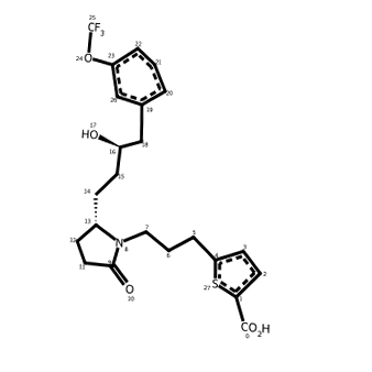 O=C(O)c1ccc(CCCN2C(=O)CC[C@@H]2CC[C@@H](O)Cc2cccc(OC(F)(F)F)c2)s1